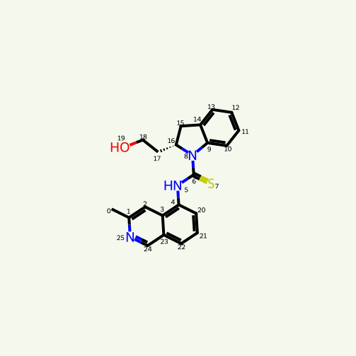 Cc1cc2c(NC(=S)N3c4ccccc4C[C@H]3CCO)cccc2cn1